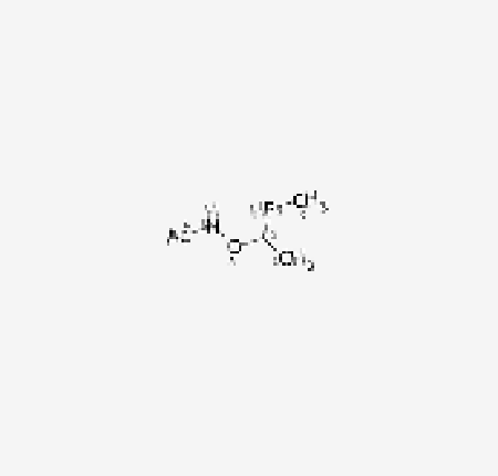 CPC(C)ONC(C)=O